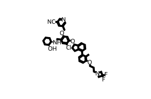 Cc1c(OCCCN2CC(F)(F)C2)cccc1-c1cccc2c1CC[C@@H]2Oc1cc(OCc2cncc(C#N)c2)c(CN[C@@H]2CCCC[C@@H]2O)cc1Cl